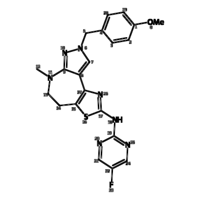 COc1ccc(Cn2cc3c(n2)N(C)CCc2sc(Nc4ncc(F)cn4)nc2-3)cc1